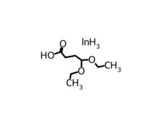 CCOC(CCC(=O)O)OCC.[InH3]